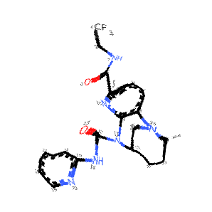 O=C(NCC(F)(F)F)c1ccc2c(n1)N(C(=O)Nc1ccccn1)C1CCCN2C1